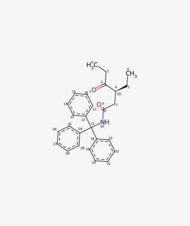 CCC(=O)[C@@H](CC)CC(=O)NC(c1ccccc1)(c1ccccc1)c1ccccc1